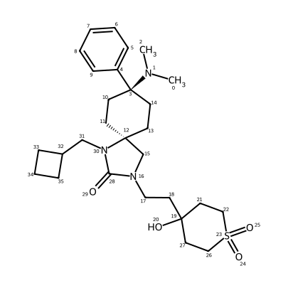 CN(C)[C@]1(c2ccccc2)CC[C@]2(CC1)CN(CCC1(O)CCS(=O)(=O)CC1)C(=O)N2CC1CCC1